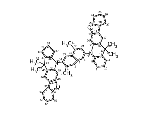 Cc1cc2cc(N3c4ccccc4C(C)(C)c4cc5c(cc43)oc3ccccc35)cc(C)c2cc1N1c2ccccc2C(C)(C)c2cc3c(cc21)oc1ccccc13